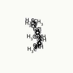 COc1cc(OCC(=O)OC(C)(C)C)c(Cl)cc1NC(=S)Nc1ccc(NC(C)=O)cc1